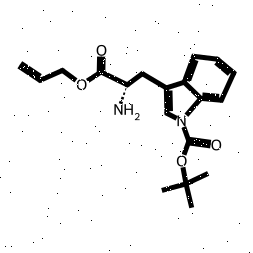 C=CCOC(=O)[C@@H](N)Cc1cn(C(=O)OC(C)(C)C)c2ccccc12